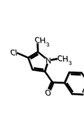 Cc1c(Cl)cc(C(=O)c2ccccc2)n1C